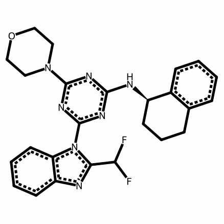 FC(F)c1nc2ccccc2n1-c1nc(N[C@@H]2CCCc3ccccc32)nc(N2CCOCC2)n1